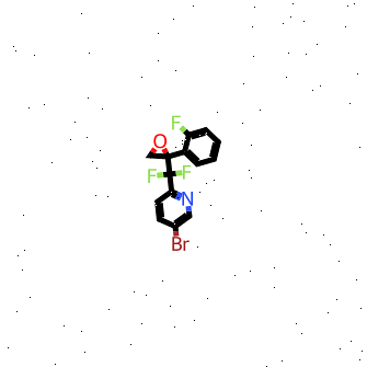 Fc1ccccc1C1(C(F)(F)c2ccc(Br)cn2)CO1